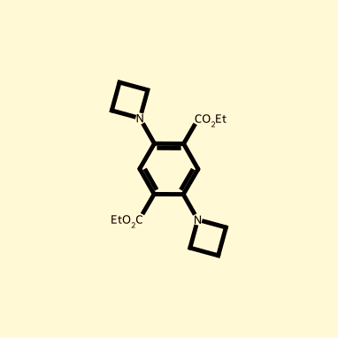 CCOC(=O)c1cc(N2CCC2)c(C(=O)OCC)cc1N1CCC1